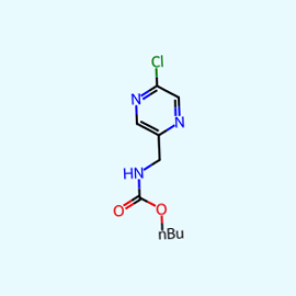 CCCCOC(=O)NCc1cnc(Cl)cn1